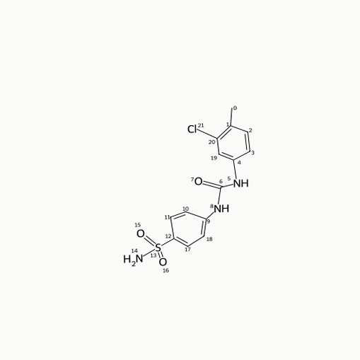 Cc1ccc(NC(=O)Nc2ccc(S(N)(=O)=O)cc2)cc1Cl